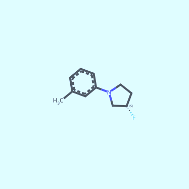 Cc1cccc(N2CC[C@H](F)C2)c1